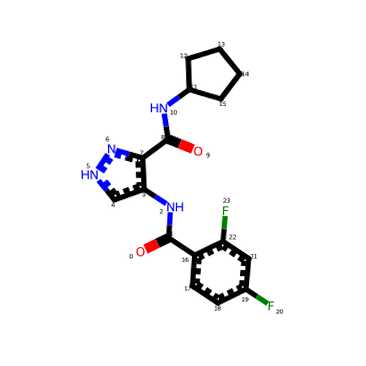 O=C(Nc1c[nH]nc1C(=O)NC1CCCC1)c1ccc(F)cc1F